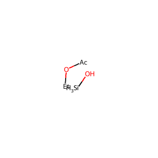 CCOC(C)=O.O[SiH3]